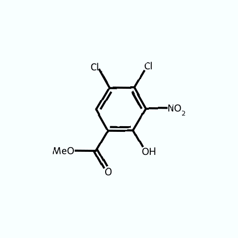 COC(=O)c1cc(Cl)c(Cl)c([N+](=O)[O-])c1O